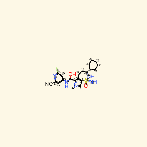 Cn1cc2c(c1C(O)Nc1cc(F)nc(C#N)c1)CC[C@H](C1CCCCC1)NS2(=N)=O